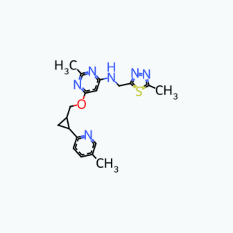 Cc1ccc(C2CC2COc2cc(NCc3nnc(C)s3)nc(C)n2)nc1